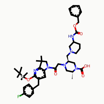 C[C@@H]1CN(CC(=O)N2CC(C)(C)c3nc(O[Si](C)(C)C(C)(C)C)c(Cc4ccc(F)cc4)cc32)[C@@H](CN2CCCC(NC(=O)OCc3ccccc3)C2)CN1C(=O)O